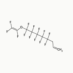 C=CCC(F)(F)C(F)(F)C(F)(F)C(F)(F)C(F)(F)OC(F)=C(F)F